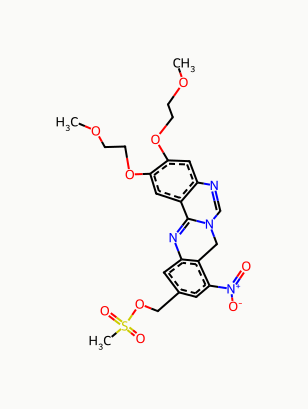 COCCOc1cc2c(cc1OCCOC)C1=Nc3cc(COS(C)(=O)=O)cc([N+](=O)[O-])c3CN1C=N2